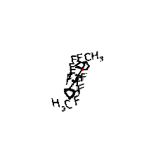 Cc1ccc(C(F)(F)C(F)(F)C23CCC(C)(CC2)C(F)(F)C3F)c(F)c1F